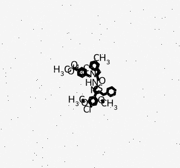 COC(=O)c1ccc(Cn2c(C(=O)Nc3nc(-c4cc(OC)c(Cl)cc4OC)c(CC4CCCCC4)s3)cc3cc(C)cc(C)c32)cc1